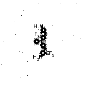 Nc1ccc(Oc2ccc(N(c3ccccc3)c3ccc(Oc4ccc(N)cc4C(F)(F)F)cc3)cc2)c(C(F)(F)F)c1